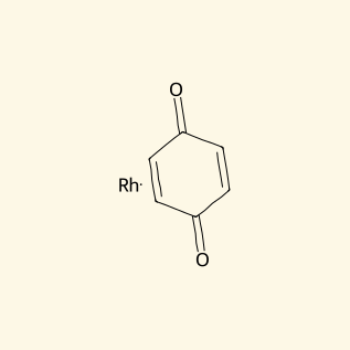 O=C1C=CC(=O)C=C1.[Rh]